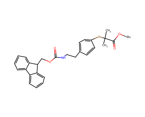 CC(C)(C)OC(=O)C(C)(C)Sc1ccc(CCNC(=O)OCC2c3ccccc3-c3ccccc32)cc1